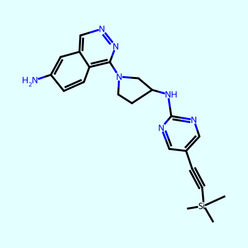 C[Si](C)(C)C#Cc1cnc(NC2CCN(c3nncc4cc(N)ccc34)C2)nc1